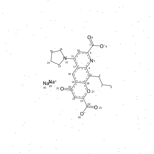 CCCc1c2nc(C(=O)[O-])cc(N3CCCC3)c2cc2c(=O)cc(C(=O)[O-])oc12.[Na+].[Na+]